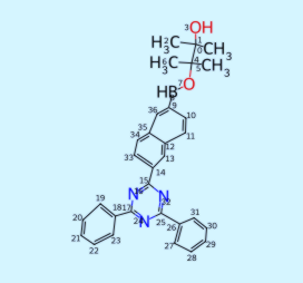 CC(C)(O)C(C)(C)OBc1ccc2cc(-c3nc(-c4ccccc4)nc(-c4ccccc4)n3)ccc2c1